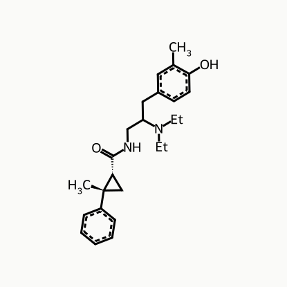 CCN(CC)C(CNC(=O)[C@@H]1C[C@]1(C)c1ccccc1)Cc1ccc(O)c(C)c1